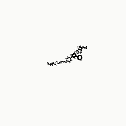 N#Cc1cnc(C(=O)Nc2ccc(C3CCN(CCOCCOCCN=[N+]=[N-])CC3)cc2C2=CCCCC2)[nH]1